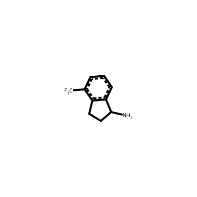 NC1CCc2c1cccc2C(F)(F)F